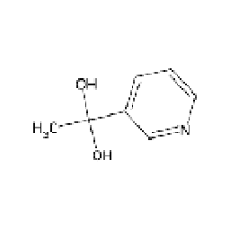 CC(O)(O)c1cccnc1